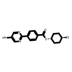 CCCc1cnc(-c2ccc(C(=O)O[C@H]3CC[C@H](CC)CC3)cc2)nc1